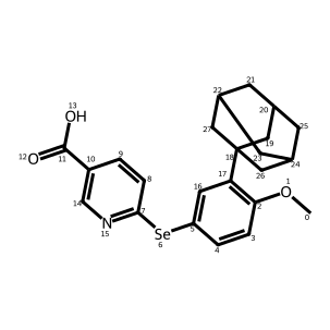 COc1ccc([Se]c2ccc(C(=O)O)cn2)cc1C12CC3CC(CC(C3)C1)C2